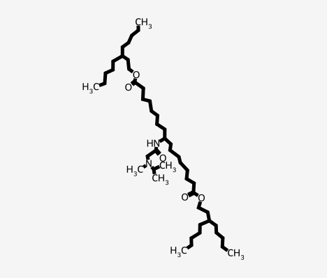 CCCCCC(CCCCC)CCOC(=O)CCCCCCCC(CCCCCCCC(=O)OCCC(CCCCC)CCCCC)NC(=O)CN(C)C(C)C